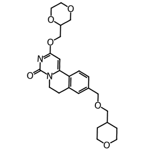 O=c1nc(OCC2COCCO2)cc2n1CCc1cc(COCC3CCOCC3)ccc1-2